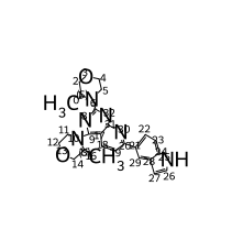 C[C@H]1COCCN1c1nc(N2CCOC[C@@H]2C)c2ccc(-c3ccc4[nH]ccc4c3)nc2n1